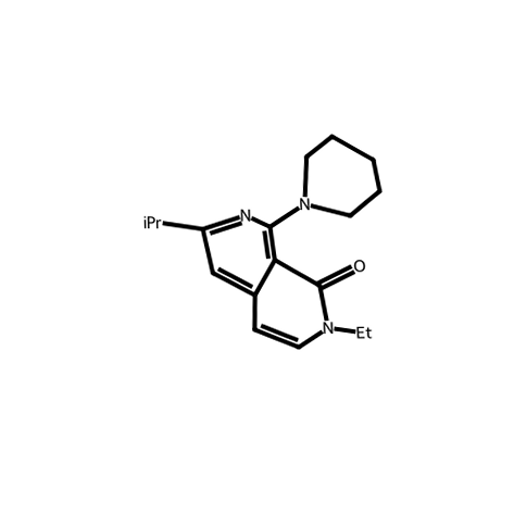 CCn1ccc2cc(C(C)C)nc(N3CCCCC3)c2c1=O